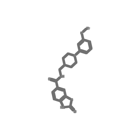 CC(C)Oc1cccc(N2CCC(CNC(=O)c3ccc4[nH]c(=O)oc4c3)CC2)c1